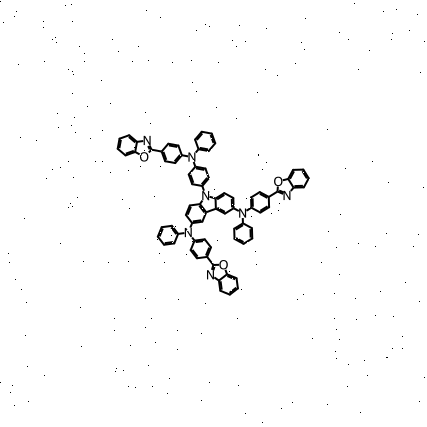 c1ccc(N(c2ccc(-c3nc4ccccc4o3)cc2)c2ccc(-n3c4ccc(N(c5ccccc5)c5ccc(-c6nc7ccccc7o6)cc5)cc4c4cc(N(c5ccccc5)c5ccc(-c6nc7ccccc7o6)cc5)ccc43)cc2)cc1